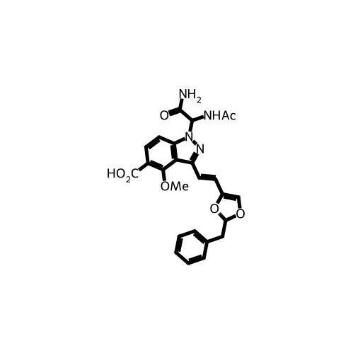 COc1c(C(=O)O)ccc2c1c(C=CC1=COC(Cc3ccccc3)O1)nn2C(NC(C)=O)C(N)=O